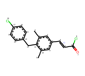 Cc1cc(/C=C/C(=O)Cl)cc(C)c1Cc1ccc(Cl)cc1